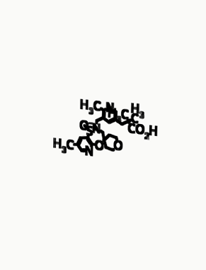 Cc1cnc2c(c1)[S+]([O-])N(Cc1cc(CC(C)(C)C(=O)O)cnc1C)CC1(CCOCC1)O2